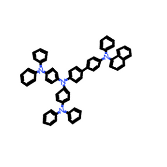 c1ccc(N(c2ccccc2)c2ccc(N(c3ccc(-c4ccc(N(c5ccccc5)c5cccc6ccccc56)cc4)cc3)c3ccc(N(c4ccccc4)c4ccccc4)cc3)cc2)cc1